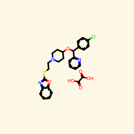 Clc1ccc(C(OC2CCN(CCSc3nc4ccccc4o3)CC2)c2ccccn2)cc1.O=C(O)C(=O)O